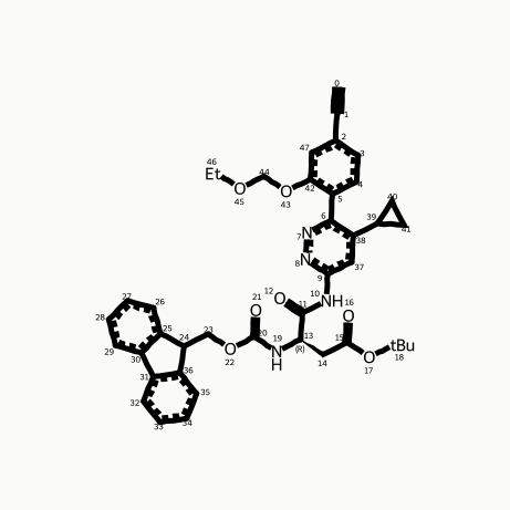 C#Cc1ccc(-c2nnc(NC(=O)[C@@H](CC(=O)OC(C)(C)C)NC(=O)OCC3c4ccccc4-c4ccccc43)cc2C2CC2)c(OCOCC)c1